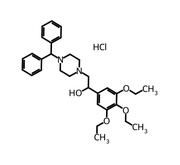 CCOc1cc(C(O)CN2CCN(C(c3ccccc3)c3ccccc3)CC2)cc(OCC)c1OCC.Cl